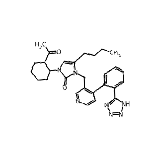 CCCCc1cn(C2CCCCC2C(C)=O)c(=O)n1Cc1cnccc1-c1ccccc1-c1nnn[nH]1